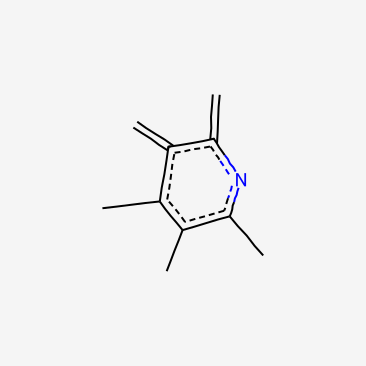 C=c1nc(C)c(C)c(C)c1=C